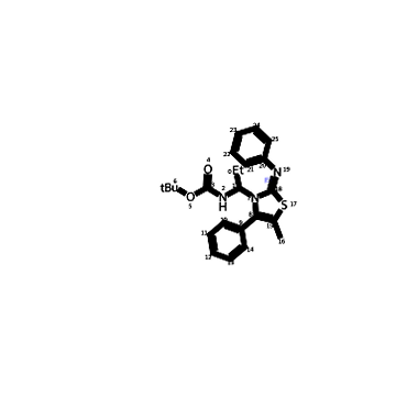 CCC(NC(=O)OC(C)(C)C)n1c(-c2ccccc2)c(C)s/c1=N/c1ccccc1